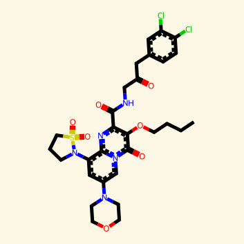 CCCCOc1c(C(=O)NCC(=O)Cc2ccc(Cl)c(Cl)c2)nc2c(N3CCCS3(=O)=O)cc(N3CCOCC3)cn2c1=O